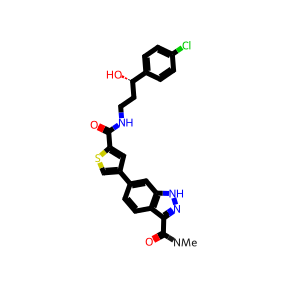 CNC(=O)c1n[nH]c2cc(-c3csc(C(=O)NCC[C@H](O)c4ccc(Cl)cc4)c3)ccc12